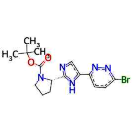 CC(C)(C)OC(=O)N1CCC[C@H]1c1ncc(-c2ccc(Br)nn2)[nH]1